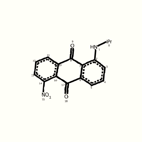 CC(C)Nc1cccc2c1C(=O)c1cccc([N+](=O)[O-])c1C2=O